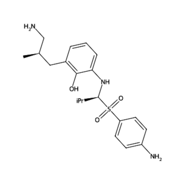 CC(C)[C@@H](Nc1cccc(C[C@@H](C)CN)c1O)S(=O)(=O)c1ccc(N)cc1